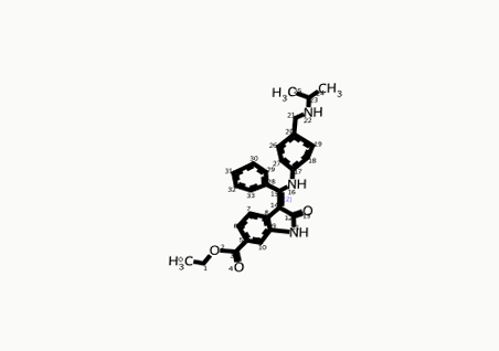 CCOC(=O)c1ccc2c(c1)NC(=O)/C2=C(\Nc1ccc(CNC(C)C)cc1)c1ccccc1